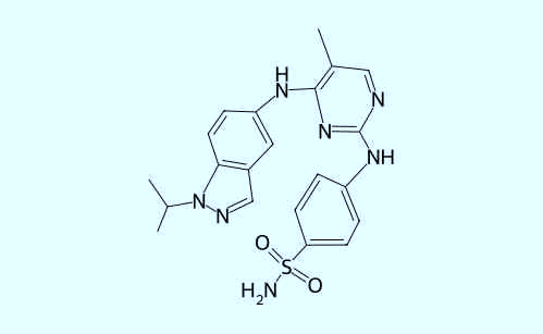 Cc1cnc(Nc2ccc(S(N)(=O)=O)cc2)nc1Nc1ccc2c(cnn2C(C)C)c1